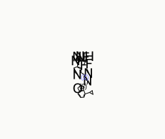 C=N/C(=C\N(C)C[C@H]1COc2cccc(C3CC3)c21)c1cc(-c2nn[nH]c2C(F)(F)F)ccn1